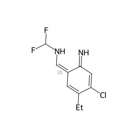 CCC1=C/C(=C/NC(F)F)C(=N)C=C1Cl